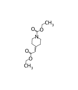 CCOC(=O)C=C1CCN(C(=O)OCC)CC1